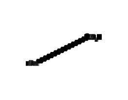 C=C(CCCCCCCCCCCCCCCCCCCCCCCCCCCCCCCCCCCCCC)C(=O)O